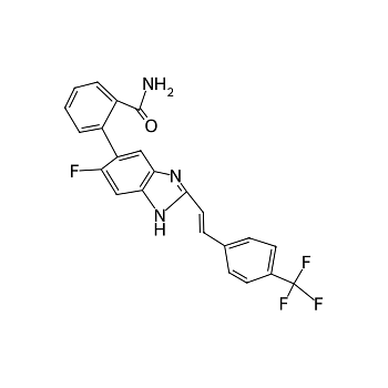 NC(=O)c1ccccc1-c1cc2nc(/C=C/c3ccc(C(F)(F)F)cc3)[nH]c2cc1F